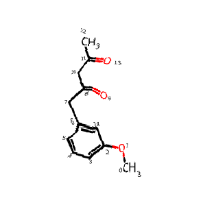 COc1cccc(CC(=O)CC(C)=O)c1